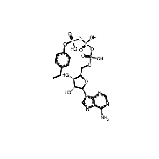 CCc1ccc(OP(=O)(O)OP(=O)(O)OP(=O)(O)OC[C@H]2O[C@@H](n3cnc4c(N)ncnc43)[C@H](O)[C@@H]2O)cc1